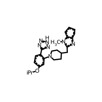 CC(C)Oc1ccc(-c2nn[nH]n2)c(N2CCC(Cc3nc4ccccc4n3C)CC2)c1